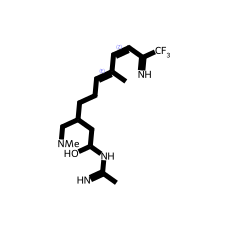 CNCC(CC/C=C(C)/C=C\C(=N)C(F)(F)F)CC(O)NC(C)=N